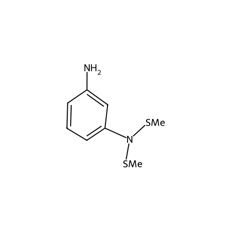 CSN(SC)c1cccc(N)c1